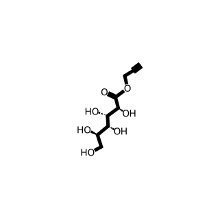 C#CCOC(=O)[C@H](O)[C@@H](O)[C@H](O)[C@H](O)CO